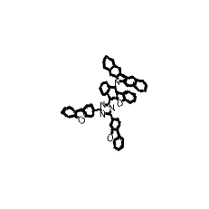 c1ccc2cc3c(cc2c1)c1cc2ccccc2cc1n3-c1c2ccccc2c(-c2nc(-c3ccc4c(c3)oc3ccccc34)nc(-c3ccc4c(c3)oc3ccccc34)n2)c2oc3ccccc3c12